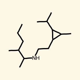 CCCC(C)C(C)NCCC1C(C)C1C(C)C